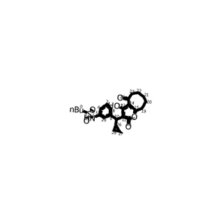 CCCCS(=O)(=O)Nc1cccc(C(c2c(O)c3c(oc2=O)CCCCCC3=O)C2CC2)c1